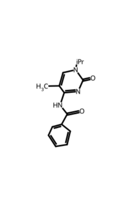 Cc1cn(C(C)C)c(=O)nc1NC(=O)c1ccccc1